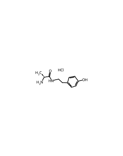 C[C@H](N)C(=O)NCCc1ccc(O)cc1.Cl